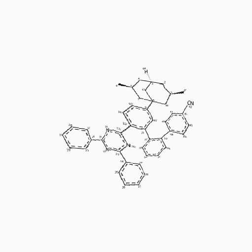 C[C@@H]1C[C@@H]2C[C@H](C)CC(c3ccc(-c4nc(-c5ccccc5)nc(-c5ccccc5)n4)c(-c4ccccc4-c4ccc(C#N)cc4)c3)(C1)C2